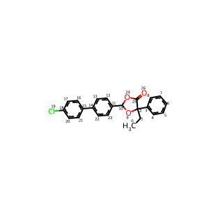 CCC1(c2ccccc2)OC(c2ccc(-c3ccc(Cl)cc3)cc2)OC1=O